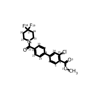 COC(=O)c1ccc(-c2ccc(C(=O)N3CCC(F)(F)CC3)cc2)cc1Cl